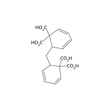 O=C(O)C1(C(=O)O)C=CC=CC1CC1C=CC=CC1(C(=O)O)C(=O)O